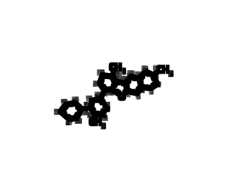 Cc1ccc2cc3oc4c(-c5cc(-c6ccccc6)c(C)cn5)ccc(C)c4c3cc2c1